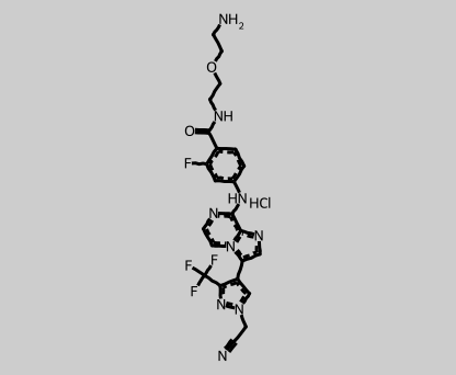 Cl.N#CCn1cc(-c2cnc3c(Nc4ccc(C(=O)NCCOCCN)c(F)c4)nccn23)c(C(F)(F)F)n1